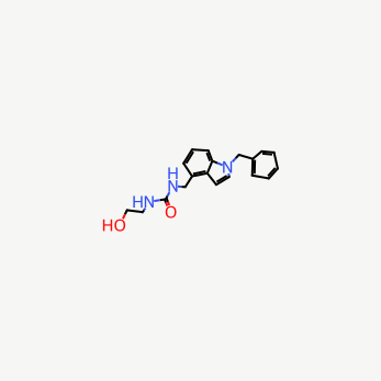 O=C(NCCO)NCc1cccc2c1ccn2Cc1ccccc1